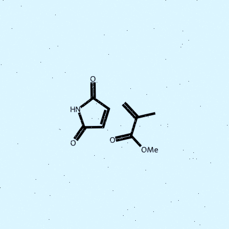 C=C(C)C(=O)OC.O=C1C=CC(=O)N1